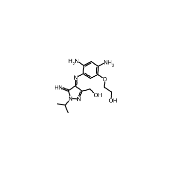 CC(C)N1N=C(CO)C(=Nc2cc(OCCO)c(N)cc2N)C1=N